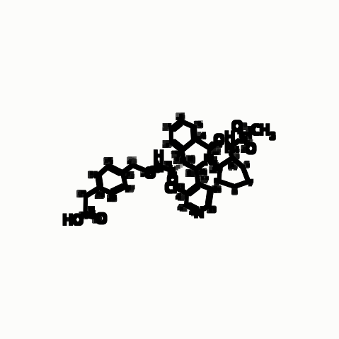 CS(=O)(=O)N[C@H]1CCCC[C@@H]1N1C(=O)c2ccccc2[C@@H](C(=O)NOCc2ccc(CC(=O)O)cc2)[C@@H]1c1ccncc1Cl